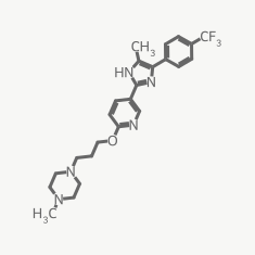 Cc1[nH]c(-c2ccc(OCCCN3CCN(C)CC3)nc2)nc1-c1ccc(C(F)(F)F)cc1